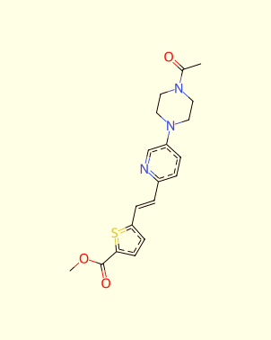 COC(=O)c1ccc(/C=C/c2ccc(N3CCN(C(C)=O)CC3)cn2)s1